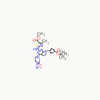 CCOC(=O)c1sc(Nc2nc(N3CCNC(=O)C3)c3c(n2)N(Cc2ccc(C(=O)OC(C)(C)C)cc2)CC3)nc1C